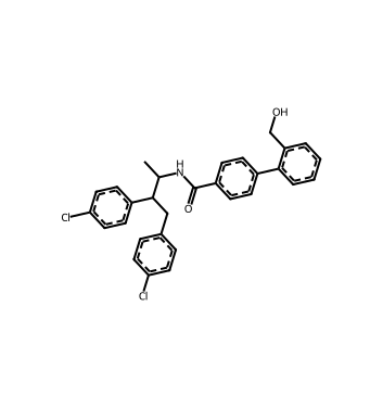 CC(NC(=O)c1ccc(-c2ccccc2CO)cc1)C(Cc1ccc(Cl)cc1)c1ccc(Cl)cc1